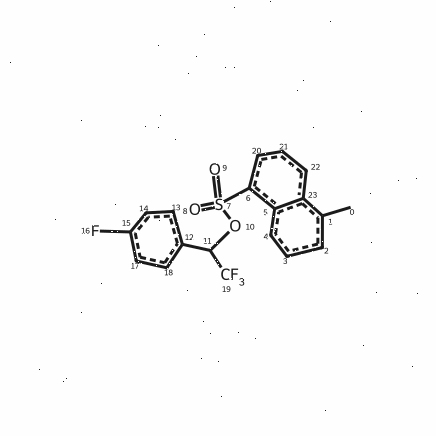 Cc1cccc2c(S(=O)(=O)OC(c3ccc(F)cc3)C(F)(F)F)cccc12